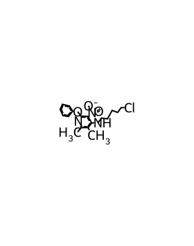 Cc1nc(Oc2ccccc2)c([N+](=O)[O-])c(NCCCCCCl)c1C